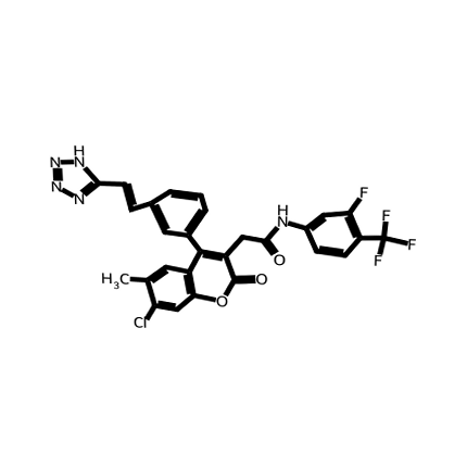 Cc1cc2c(-c3cccc(C=Cc4nnn[nH]4)c3)c(CC(=O)Nc3ccc(C(F)(F)F)c(F)c3)c(=O)oc2cc1Cl